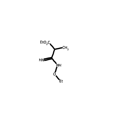 CCONC(=N)C(C)C(=O)OCC